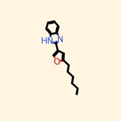 CCCCCCc1cc(-c2nc3ccccc3[nH]2)co1